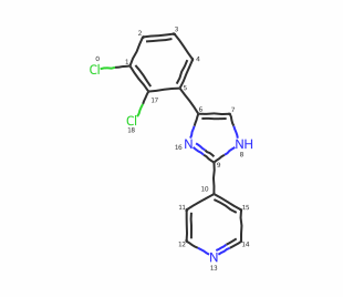 Clc1cccc(-c2c[nH]c(-c3ccncc3)n2)c1Cl